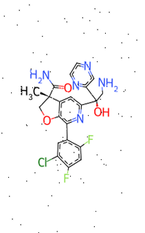 C[C@]1(C(N)=O)COc2c1cc([C@@](O)(CN)c1cnccn1)nc2-c1cc(Cl)c(F)cc1F